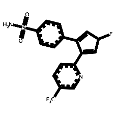 NS(=O)(=O)c1ccc(C2=CC(F)C=C2c2ccc(C(F)(F)F)cn2)cc1